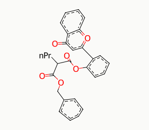 CCCC(C(=O)OCc1ccccc1)C(=O)Oc1ccccc1-c1cc(=O)c2ccccc2o1